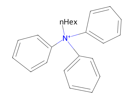 CCCCCC[N+](c1ccccc1)(c1ccccc1)c1ccccc1